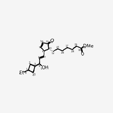 CCC1CC(C(O)/C=C/[C@H]2C=CC(=O)[C@@H]2CCCCCCC(=O)OC)C1